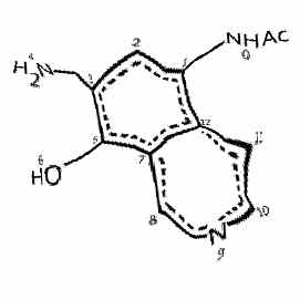 CC(=O)Nc1cc(N)c(O)c2cnccc12